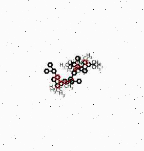 CC(C)(C)c1cc(-c2ccccc2N(c2ccc(-c3ccc(-c4ccc(CC(C)(C)c5cc(-c6cccc7cccc(-c8ccccc8N(c8ccc(-c9ccc(-c%10ccccc%10)cc9)cc8)c8ccc(-c9ccc(-c%10ccccc%10)c(-c%10ccccc%10)c9)cc8)c67)cc(C(C)(C)C)c5)cc4)cc3)cc2)c2ccccc2-c2cccc3cccc(-c4cc(C(C)(C)C)cc(C(C)(C)C)c4)c23)cc(C(C)(C)C)c1